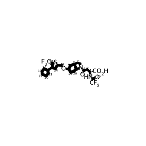 O=C(O)[C@@H](CC(=O)N1CCc2cc(OCc3cc(-c4ccccc4)c(C(F)(F)F)s3)ccc21)NC(=O)C(F)(F)F